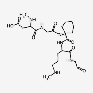 CNCCCC(NC(=O)C1(NC(=O)CNC(=O)C(CC(=O)O)NC)CCCCC1)C(=O)NCC=O